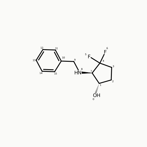 O[C@H]1CCC(F)(F)[C@@H]1NCc1ccccc1